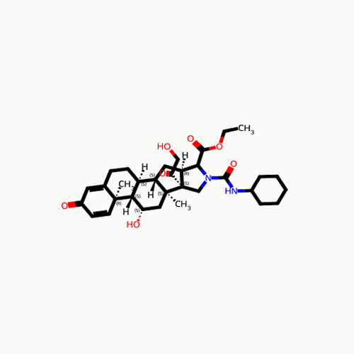 CCOC(=O)C1[C@@H]2C[C@H]3[C@@H]4CCC5=CC(=O)C=C[C@]5(C)[C@H]4[C@@H](O)C[C@]3(C)[C@]2(C(=O)CO)CN1C(=O)NC1CCCCC1